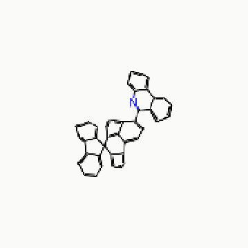 c1ccc2c(c1)-c1ccccc1C21c2ccccc2-c2ccc(-c3nc4ccccc4c4ccccc34)c3cccc1c23